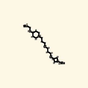 CC(C)(C)COC1CCN(CCCOCCCOC2CN(C(C)(C)C)C2)CC1